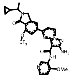 COc1ccncc1NC(=O)c1c(N)nn2ccc(-c3cc4c(c(OC(F)(F)F)c3)C(=O)N(C(C)C3CC3)C4)nc12